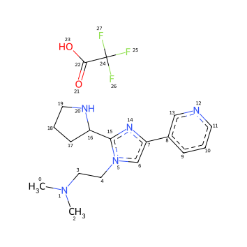 CN(C)CCn1cc(-c2cccnc2)nc1C1CCCN1.O=C(O)C(F)(F)F